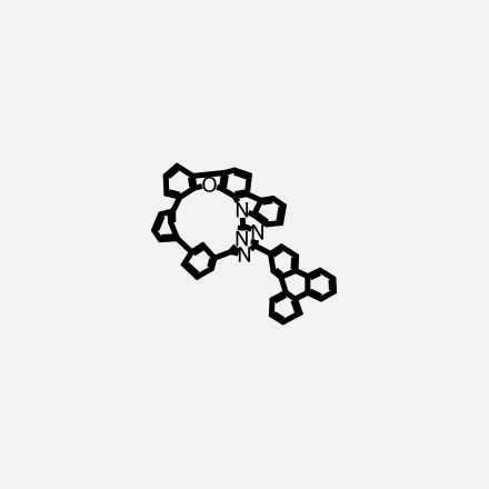 c1cc2cc(c1)c1nc(-c3ccc4c5ccccc5c5ccccc5c4c3)nc(n1)n1c3ccccc3c3ccc4c5cccc(c6cccc2c6)c5oc4c31